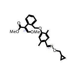 CO/C=C(/C(=O)OC)c1ccccc1COc1cc(C)c(/C=N/OCC2CC2)cc1C